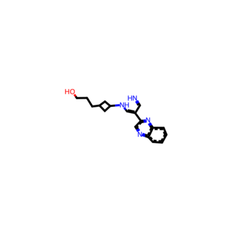 N=C/C(=C\NC1CC(CCCO)C1)c1cnc2ccccc2n1